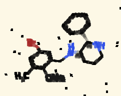 COc1c(C)cc(Br)cc1CN[C@H]1CCCN[C@H]1c1ccccc1